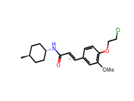 COc1cc(/C=C/C(=O)N[C@H]2CC[C@H](C)CC2)ccc1OCCCl